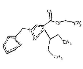 CCOC(=O)c1cn(Cc2ccccc2)nc1C(CC)CC